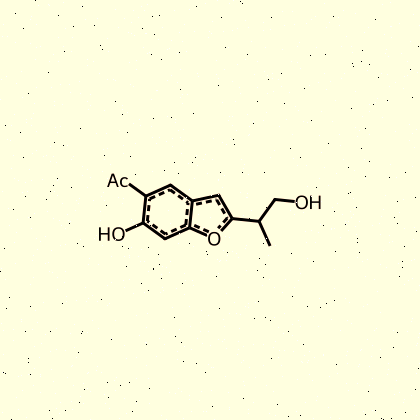 CC(=O)c1cc2cc(C(C)CO)oc2cc1O